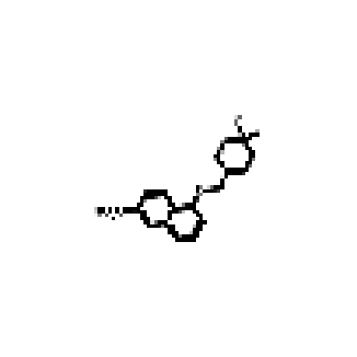 O=C(O)c1ccc2c(OCC3CCC(F)(F)CC3)cccc2c1